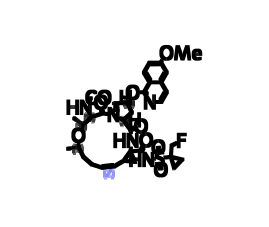 COc1ccc2c(O[C@@H]3C[C@H]4C(=O)NC5(C(=O)NS(=O)(=O)C6(CF)CC6)CC5/C=C\CC[C@@H](C)O[C@@H](C)[C@H](NC(=O)O)C(=O)N4C3)nccc2c1